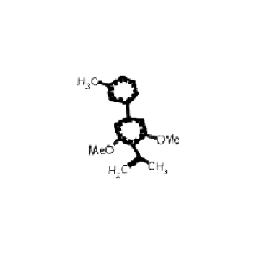 C=C(C)c1c(OC)cc(-c2cccc(C)c2)cc1OC